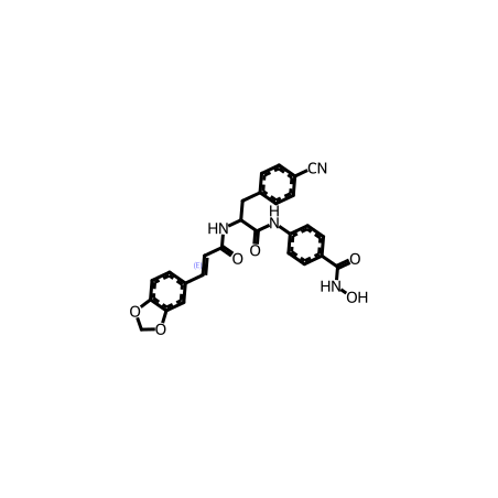 N#Cc1ccc(CC(NC(=O)/C=C/c2ccc3c(c2)OCO3)C(=O)Nc2ccc(C(=O)NO)cc2)cc1